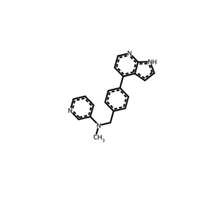 CN(Cc1ccc(-c2ccnc3[nH]ccc23)cc1)c1cccnc1